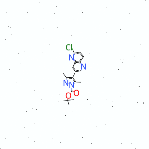 Cc1nn(C(=O)OC(C)(C)C)c(C)c1-c1cnc2ccc(Cl)nc2c1